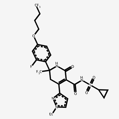 CCn1ccc(C2=C(C(=O)NS(=O)(=O)C3CC3)C(=O)NC(c3ccc(OCCCC(F)(F)F)cc3F)(C(F)(F)F)C2)n1